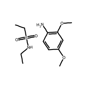 CCNS(=O)(=O)CC.COc1ccc(N)c(OC)c1